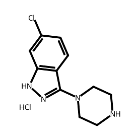 Cl.Clc1ccc2c(N3CCNCC3)n[nH]c2c1